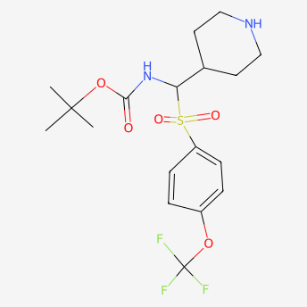 CC(C)(C)OC(=O)NC(C1CCNCC1)S(=O)(=O)c1ccc(OC(F)(F)F)cc1